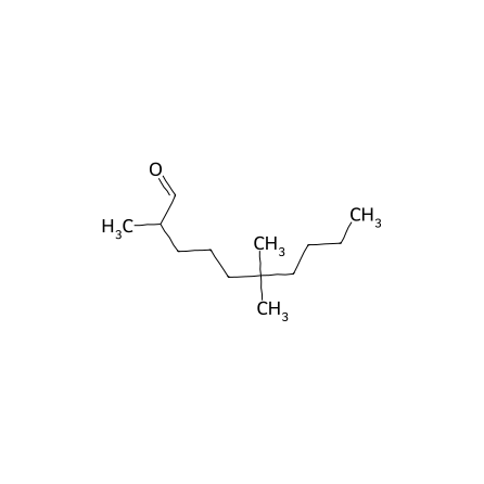 CCCCC(C)(C)CCCC(C)C=O